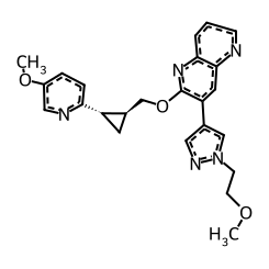 COCCn1cc(-c2cc3ncccc3nc2OC[C@H]2C[C@@H]2c2ccc(OC)cn2)cn1